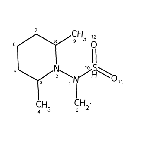 [CH2]N(N1C(C)CCCC1C)[SH](=O)=O